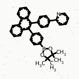 CC1(C)OB(c2ccc(-c3c(-c4ccc(-c5ccccn5)cc4)c4ccccc4c4ccccc34)cc2)OC1(C)C